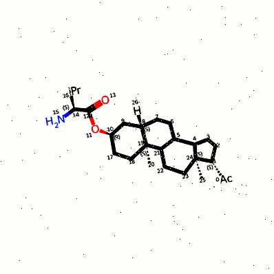 CC(=O)[C@H]1CCC2C3CC[C@H]4C[C@H](OC(=O)[C@@H](N)C(C)C)CC[C@]4(C)C3CC[C@@]21C